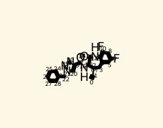 C#C[C@@H]1Cc2cc(F)cc(F)c2NC(=O)[C@@H]1NC(=O)c1cn(Cc2ccccc2)nn1